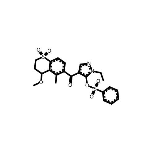 CCn1ncc(C(=O)c2ccc3c(c2C)C(OC)CCS3(=O)=O)c1OS(=O)(=O)c1ccccc1